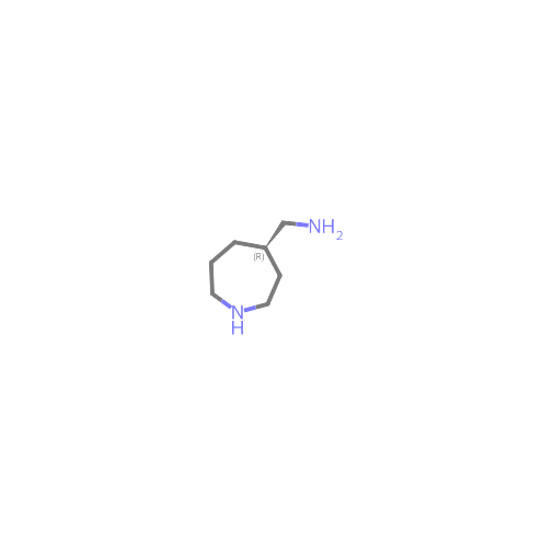 NC[C@@H]1CCCNCC1